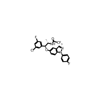 C[C@H](NC(=O)C(F)(F)F)[C@@H](Oc1ccc2c(cnn2-c2ccc(F)cc2)c1)c1cc(F)cc(Cl)c1